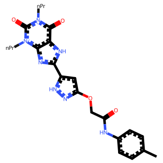 CCCn1c(=O)c2[nH]c(-c3cc(OCC(=O)Nc4ccc(C)cc4)n[nH]3)nc2n(CCC)c1=O